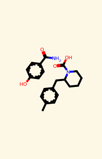 Cc1ccc(CC2CCCCN2C(=O)O)cc1.NC(=O)c1ccc(O)cc1